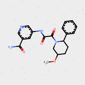 NC(=O)c1cncc(NC(=O)C(=O)N2CC(OC(F)(F)F)CCC2c2ccccc2)c1